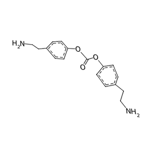 NCCc1ccc(OC(=O)Oc2ccc(CCN)cc2)cc1